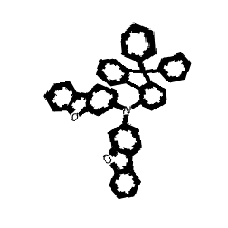 c1ccc(C2(c3ccccc3)c3ccccc3-c3c(N(c4ccc5c(c4)oc4ccccc45)c4ccc5c(c4)oc4ccccc45)cccc32)cc1